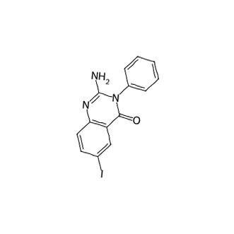 Nc1nc2ccc(I)cc2c(=O)n1-c1ccccc1